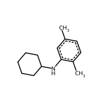 Cc1ccc(C)c(NC2CCCCC2)c1